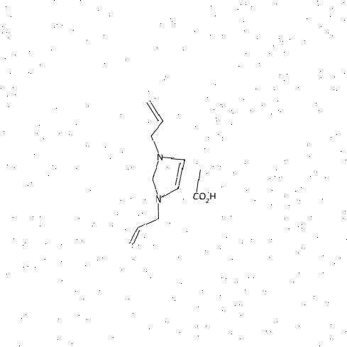 C=CCN1C=CN(CC=C)C1.CC(=O)O